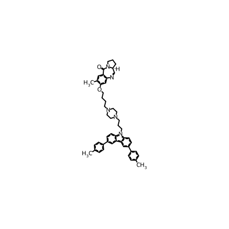 Cc1ccc(-c2ccc3c(c2)c2cc(-c4ccc(C)cc4)ccc2n3CCCN2CCN(CCCCOc3cc4c(cc3C)C(=O)N3CCC[C@H]3C=N4)CC2)cc1